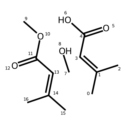 CC(C)=CC(=O)O.CO.COC(=O)C=C(C)C